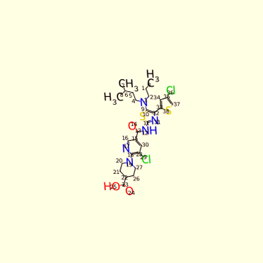 CCCN(CCC(C)C)c1sc(NC(=O)c2cnc(N3CCC(C(=O)O)CC3)c(Cl)c2)nc1-c1cc(Cl)cs1